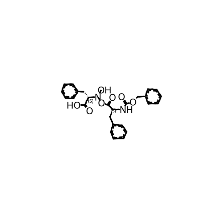 O=C(N[C@@H](Cc1ccccc1)C(=O)ON(O)[C@@H](Cc1ccccc1)C(=O)O)OCc1ccccc1